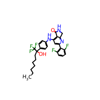 CCCCCCCC(O)(c1ccc(Nc2cc(-c3c(F)cccc3F)nc3c2C(=O)NC3)cc1)C(F)(F)F